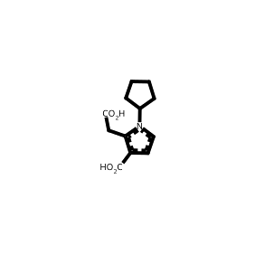 O=C(O)Cc1c(C(=O)O)ccn1C1CCCC1